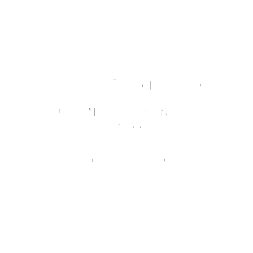 O=C(/C(Cl)=C(/Cl)C(=O)N(Cc1ccco1)Cc1ccco1)N(Cc1ccco1)Cc1ccco1